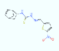 O=[N+]([O-])c1ccc(C=NNC(=S)NC2CC3C=CC2C3)s1